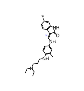 CCN(CC)CCCNc1ccc(N/C=C2\C(=O)Nc3cc(F)ccc32)cc1C